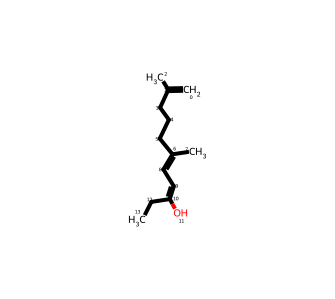 C=C(C)CCC/C(C)=C/C=C(/O)CC